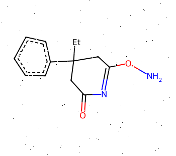 CCC1(c2ccccc2)CC(=O)N=C(ON)C1